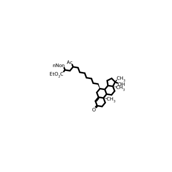 CCCCCCCCCC(CC(CCCCCCC[C@@H]1CC2=CC(=O)CC[C@]2(C)C2CC[C@@]3(C)C(CC[C@]3(C)O)C21)C(C)=O)C(=O)OCC